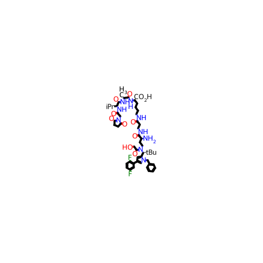 CC(C)C(NC(=O)CN1C(=O)CCC1=O)C(=O)N[C@@H](C)C(=O)N[C@@H](CCCCNC(=O)CCNC(=O)[C@@H](N)CCN(C(=O)CO)[C@@H](c1cc(-c2cc(F)ccc2F)cn1Cc1ccccc1)C(C)(C)C)C(=O)O